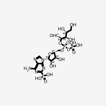 Nc1nc(P(=O)(O)O)nc2c1ncn2[C@@H]1O[C@H](COP(=O)(O[C@@H](C=O)[C@H](O)[C@H](O)CO)OP(=O)(O)O)[C@@H](O)[C@H]1O